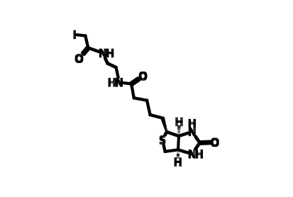 O=C(CI)NCCNC(=O)CCCC[C@@H]1SC[C@@H]2NC(=O)N[C@@H]21